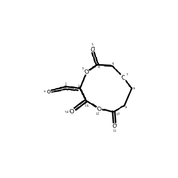 O=C=C1OC(=O)CCCCC(=O)OC1=O